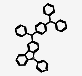 c1ccc(N(c2ccccc2)c2ccc(N(c3ccccc3)c3ccc4c(c3)c3ccccc3n4-c3ccncc3)cc2)cc1